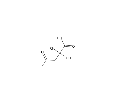 CC(=O)CC(O)(Cl)C(=O)O